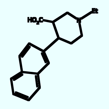 CCN1CCC(c2ccc3ccccc3c2)C(C(=O)O)C1